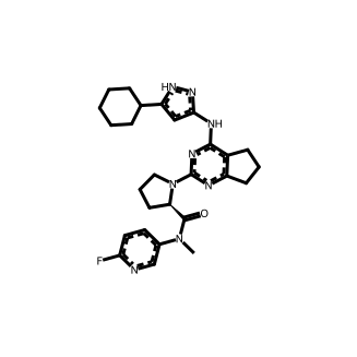 CN(C(=O)[C@H]1CCCN1c1nc2c(c(Nc3cc(C4CCCCC4)[nH]n3)n1)CCC2)c1ccc(F)nc1